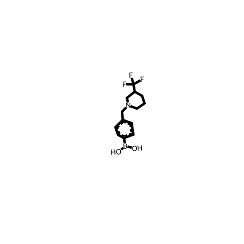 OB(O)c1ccc(CN2CCCC(C(F)(F)F)C2)cc1